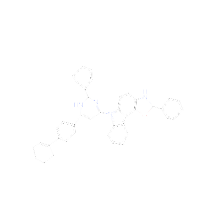 C1=C(c2ccc(C3=CC(n4c5ccccc5c5c6c(ccc54)NC(c4ccccc4)O6)=NC(c4ccccc4)N3)cc2)CCCC1